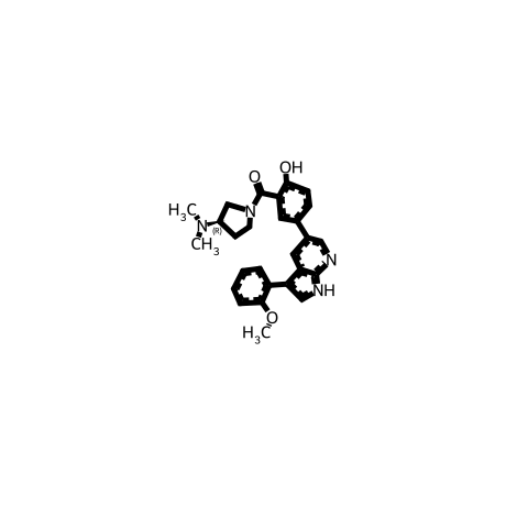 COc1ccccc1-c1c[nH]c2ncc(-c3ccc(O)c(C(=O)N4CC[C@@H](N(C)C)C4)c3)cc12